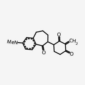 C=C1C(=O)CCC(C2CCCc3cc(NC)ccc3C2=O)C1=O